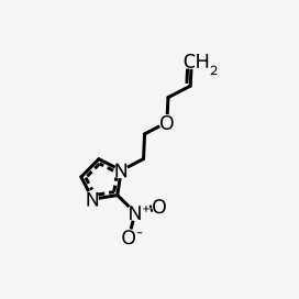 C=CCOCCn1ccnc1[N+](=O)[O-]